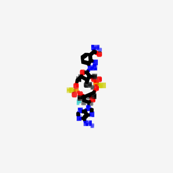 C=C1[C@H]2OP(=O)(S)OC[C@H]3O[C@@H](n4cnc5c(N)ncnc54)[C@H](F)[C@@H]3OP(=O)(S)OC[C@H]1O[C@H]2n1nnc2c(C(N)=O)cccc21